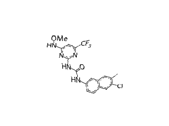 CONc1cc(C(F)(F)F)nc(NC(=O)Nc2ccc3cc(Cl)c(C)cc3c2)n1